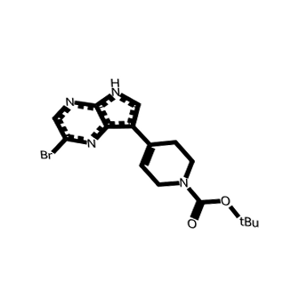 CC(C)(C)OC(=O)N1CC=C(c2c[nH]c3ncc(Br)nc23)CC1